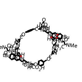 CN[C@@H](C)C(=O)N[C@H](C(=O)N1C[C@]2(N)C[C@H]1C(=O)N[C@@H](Cc1ccc3ccccc3c1)C(=O)N[C@H](C(=O)O)Cc1ccc(cc1)OCc1cn(nn1)[C@H]1C[C@@H](C(=O)N[C@@H](Cc3ccc4ccccc4c3)C(=O)N[C@H](c3nc(=O)o[nH]3)Cc3ccc(cc3)OCc3cn2nn3)N(C(=O)[C@@H](NC(=O)[C@H](C)NC)C(C)(C)C)C1)C(C)(C)C